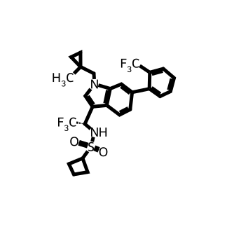 CC1(Cn2cc([C@H](NS(=O)(=O)C3CCC3)C(F)(F)F)c3ccc(-c4ccccc4C(F)(F)F)cc32)CC1